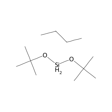 CC(C)(C)O[SiH2]OC(C)(C)C.CCCC